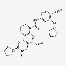 CN(Cc1cc2c(nc1C=O)N(C(=O)Nc1cc(N[C@@H]3CCOC3)c(C#N)cn1)CCC2)C(=O)[C@H]1CCCO1